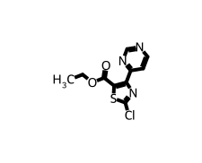 CCOC(=O)c1sc(Cl)nc1-c1ccncn1